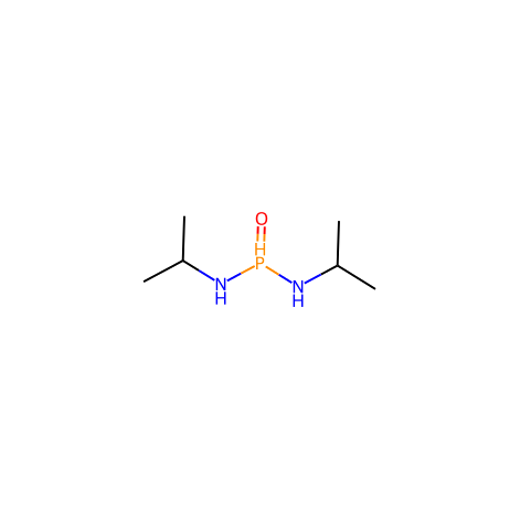 CC(C)N[PH](=O)NC(C)C